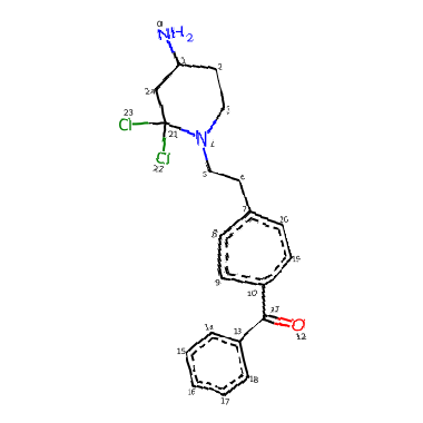 NC1CCN(CCc2ccc(C(=O)c3ccccc3)cc2)C(Cl)(Cl)C1